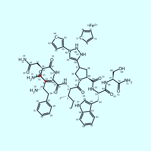 CC[C@H](C)[C@H](NC(=O)[C@H](CC(N)=O)NC(=O)[C@H](CC(N)=O)NC(=O)[C@@H](N)Cc1ccccc1)C(=O)N1CC(C2=CN(c3cc[cH-]c3)NN2)C[C@H]1C(=O)N[C@@H](Cc1c[nH]c2ccccc12)C(=O)N[C@@H](CO)C(N)=O.[Fe+2].c1cc[cH-]c1